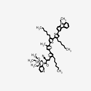 CCCCCCc1cc(-c2cc(C)c(-c3cc(CCCCCC)c(-c4sc(-c5ccc6c(c5)c5ccccc5n6CC)cc4CCCCCC)s3)s2)sc1/C=C(\C#N)C(=O)N(C[Si](OCC)(OCC)OCC)c1cccnc1